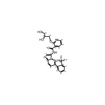 O=C(Nc1cnc2ccc(-c3ccccc3C(F)(F)F)nn12)c1cccnc1OCC(O)CO